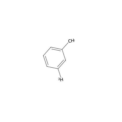 [2H]c1cccc([CH])c1